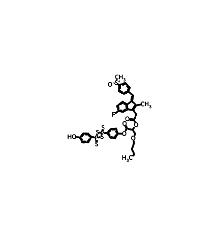 CCCCOCC(OC(=O)CC1=C(C)/C(=C/c2ccc([S+](C)[O-])cc2)c2ccc(F)cc21)C(=O)Oc1ccc(P2(=S)SP(=S)(c3ccc(O)cc3)S2)cc1